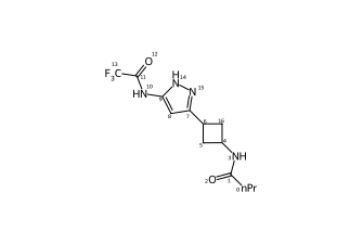 CCCC(=O)NC1CC(c2cc(NC(=O)C(F)(F)F)[nH]n2)C1